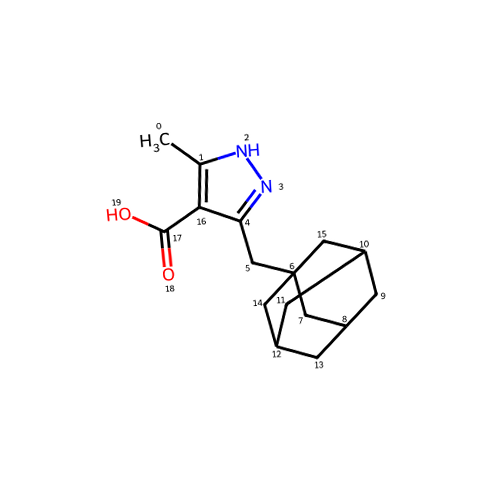 Cc1[nH]nc(CC23CC4CC(CC(C4)C2)C3)c1C(=O)O